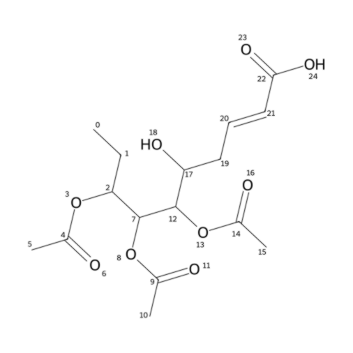 CCC(OC(C)=O)C(OC(C)=O)C(OC(C)=O)C(O)CC=CC(=O)O